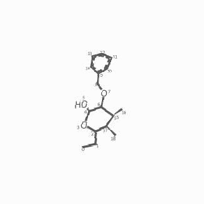 CCC1O[C@@H](O)C(OCc2ccccc2)[C@@H](C)[C@H]1C